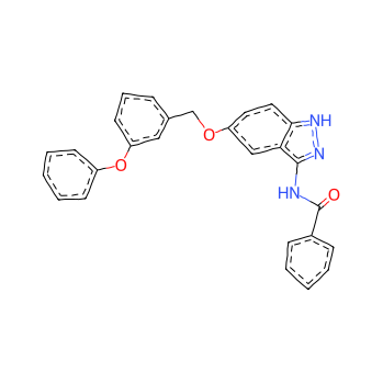 O=C(Nc1n[nH]c2ccc(OCc3cccc(Oc4ccccc4)c3)cc12)c1ccccc1